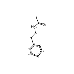 CC(=O)NCCc1cc[c]nc1